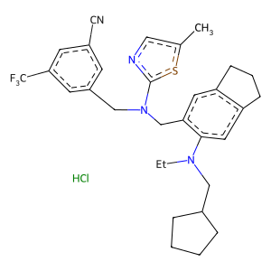 CCN(CC1CCCC1)c1cc2c(cc1CN(Cc1cc(C#N)cc(C(F)(F)F)c1)c1ncc(C)s1)CCC2.Cl